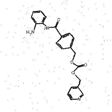 Nc1ccccc1NC(=O)c1ccc(COC(=O)OCc2cccnc2)cc1